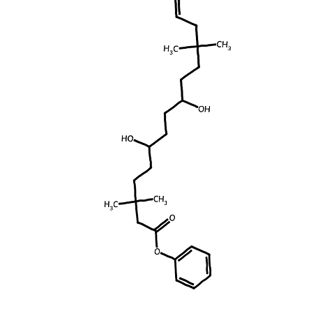 CC(C)(CC=O)CCC(O)CCC(O)CCC(C)(C)CC(=O)Oc1ccccc1